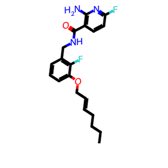 CCCCC=CCOc1cccc(CNC(=O)c2ccc(F)nc2N)c1F